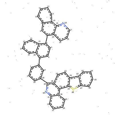 c1cc(-c2ccc(-c3cc4ccccc4c4ncccc34)c3ccccc23)cc(-c2nc3ccccc3c3c2ccc2c4ccccc4sc23)c1